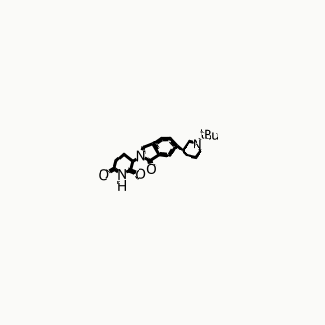 CC(C)(C)N1CCCC(c2ccc3c(c2)C(=O)N(C2CCC(=O)NC2=O)C3)C1